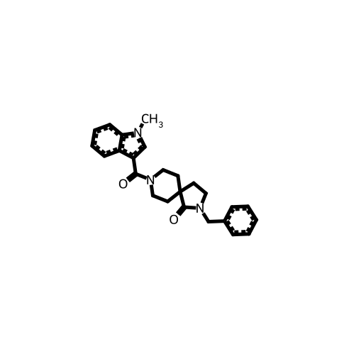 Cn1cc(C(=O)N2CCC3(CC2)CCN(Cc2ccccc2)C3=O)c2ccccc21